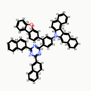 c1ccc2cc(-c3nc(-c4ccc5ccccc5c4)nc(-c4ccc(-n5c6cc7ccccc7cc6c6c7ccccc7ccc65)cc4-c4ccc5c(c4)oc4ccccc45)n3)ccc2c1